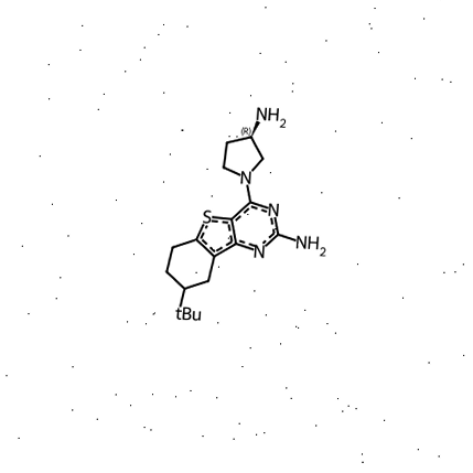 CC(C)(C)C1CCc2sc3c(N4CC[C@@H](N)C4)nc(N)nc3c2C1